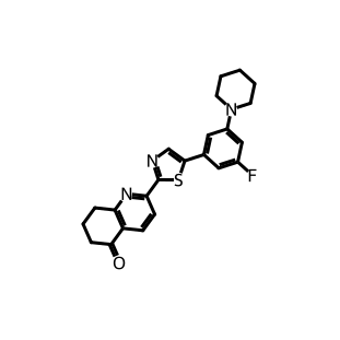 O=C1CCCc2nc(-c3ncc(-c4cc(F)cc(N5CCCCC5)c4)s3)ccc21